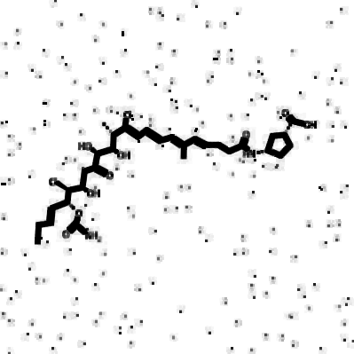 CC/C=C/[C@@H](OC(N)=O)[C@@H](Cl)[C@H](O)CC(=O)[C@@H](O)[C@H](O)[C@H](C)/C(Cl)=C/C=C/C=C(C)/C=C/CCC(=O)N[C@H]1CC[C@@H](C(=O)O)C1